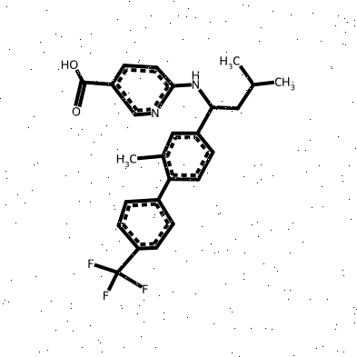 Cc1cc(C(CC(C)C)Nc2ccc(C(=O)O)cn2)ccc1-c1ccc(C(F)(F)F)cc1